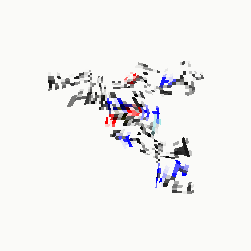 CCc1ncc(-c2cc(F)c3c(Nc4cc(OC5CCN(C6CCC6)CC5)cc(C(=O)O)c4)c(S(=O)(=O)NCc4ccc(OC)cc4)cnc3c2)c(CC)n1